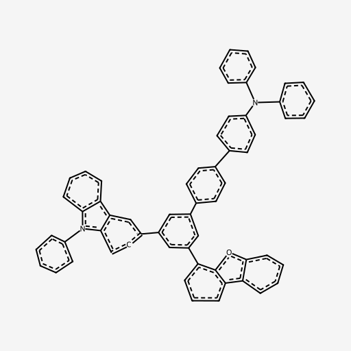 c1ccc(N(c2ccccc2)c2ccc(-c3ccc(-c4cc(-c5ccc6c(c5)c5ccccc5n6-c5ccccc5)cc(-c5cccc6c5oc5ccccc56)c4)cc3)cc2)cc1